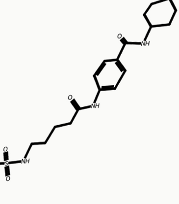 CC(C)(C)S(=O)(=O)NCCCCC(=O)Nc1ccc(C(=O)NC2CCCCC2)cc1